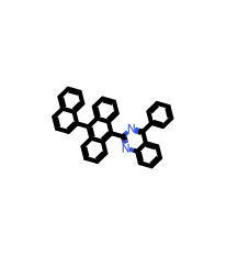 c1ccc(-c2nc(-c3c4ccccc4c(-c4cccc5ccccc45)c4ccccc34)nc3ccccc23)cc1